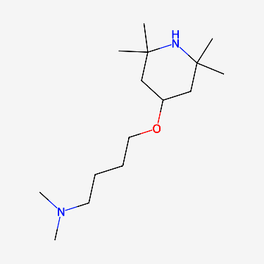 CN(C)CCCCOC1CC(C)(C)NC(C)(C)C1